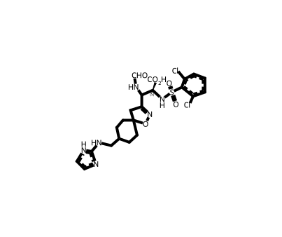 O=CNC(C1=NOC2(CCC(CNc3ncc[nH]3)CC2)C1)[C@H](NS(=O)(=O)c1c(Cl)cccc1Cl)C(=O)O